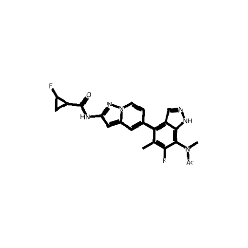 CC(=O)N(C)c1c(F)c(C)c(-c2ccn3nc(NC(=O)C4CC4F)cc3c2)c2cn[nH]c12